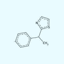 CC(c1cc[c]cc1)c1nccs1